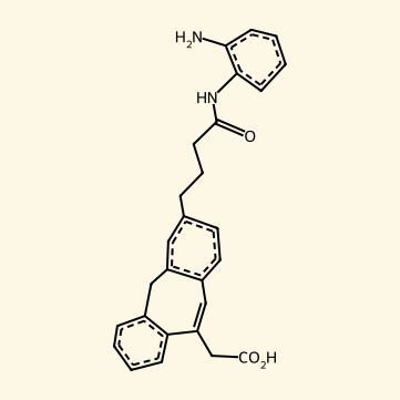 Nc1ccccc1NC(=O)CCCc1ccc2c(c1)Cc1ccccc1C(CC(=O)O)=C2